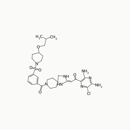 CC(C)COC1CCN(S(=O)(=O)c2cccc(C(=O)N3CCC4(CC3)CN/C(=C\C(=O)c3nc(Cl)c(N)nc3N)N4)c2)CC1